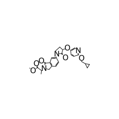 COC(=O)C(C)N1Cc2ccc(N3CC[C@@H](Oc4ccc(OCC5CC5)nc4)C3=O)cc2C1=O